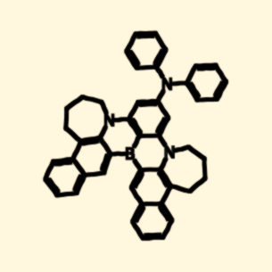 c1ccc(N(c2ccccc2)c2cc3c4c(c2)N2CCCCc5c2c(cc2ccccc52)B4c2cc4ccccc4c4c2N3CCCC4)cc1